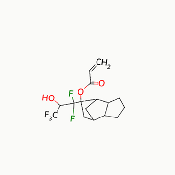 C=CC(=O)OC1(C(F)(F)C(O)C(F)(F)F)CC2CC1C1CCCC21